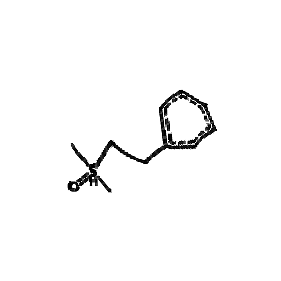 C[SH](C)(=O)CCc1ccccc1